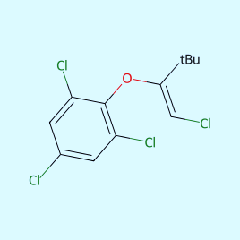 CC(C)(C)C(=CCl)Oc1c(Cl)cc(Cl)cc1Cl